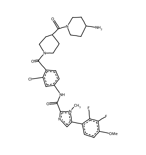 COc1ccc(-c2cnc(C(=O)Nc3ccc(C(=O)N4CCC(C(=O)N5CCC(N)CC5)CC4)c(Cl)c3)n2C)c(F)c1F